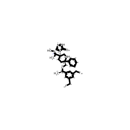 C/C(=N\O)[C@]1(n2cn[nH]c2=O)CC[C@@](CO[C@H](C)c2cc(CF)cc(CF)c2)(c2ccccc2)NC1